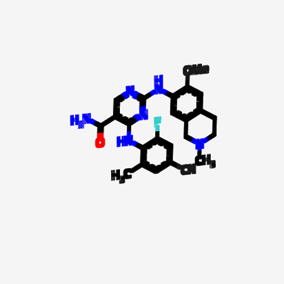 COc1cc2c(cc1Nc1ncc(C(N)=O)c(Nc3c(C)cc(C#N)cc3F)n1)CN(C)CC2